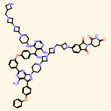 N=C(c1ccc(Oc2cccc(-c3nc(N)c4c(-c5ccc(Oc6ccccc6)cc5)nn(C5CCN(C6CN(C7CN(CC8CN(c9ccc%10c(c9)C(=O)N(C9CCC(=O)NC9=O)C%10=O)C8)C7)C6)CC5)c4n3)c2)cc1)c1c(N)ncnc1NC1CCN(C2CN(C3CN(CC4CNC4)C3)C2)CC1